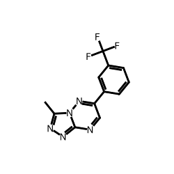 Cc1nnc2ncc(-c3cccc(C(F)(F)F)c3)nn12